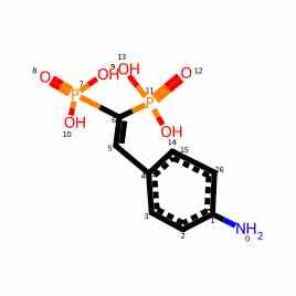 Nc1ccc(C=C(P(=O)(O)O)P(=O)(O)O)cc1